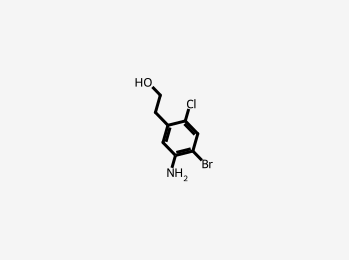 Nc1cc(CCO)c(Cl)cc1Br